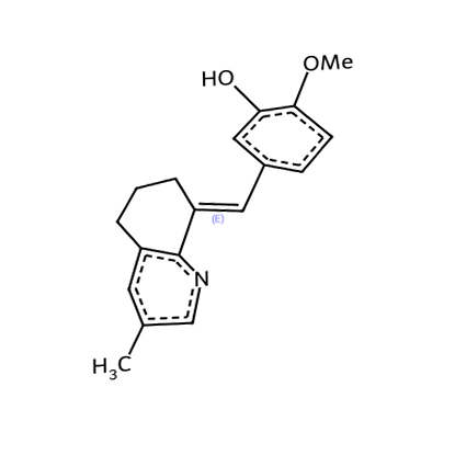 COc1ccc(/C=C2\CCCc3cc(C)cnc32)cc1O